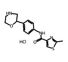 Cc1nc(C(=O)Nc2ccc(C3CNCCO3)cc2)cs1.Cl